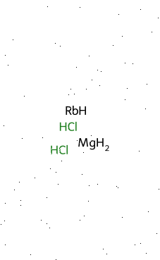 Cl.Cl.[MgH2].[RbH]